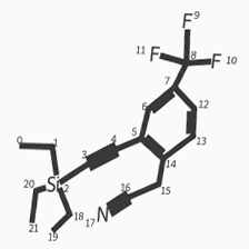 CC[Si](C#Cc1cc(C(F)(F)F)ccc1CC#N)(CC)CC